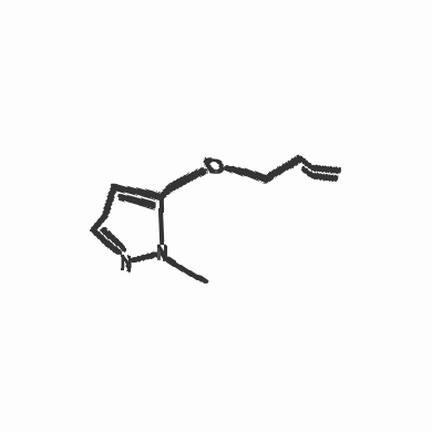 C=CCOc1ccnn1C